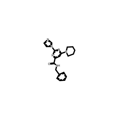 O=C(NCc1ccccc1)c1cc(N2CCCCC2)nc(-n2ccnc2)n1